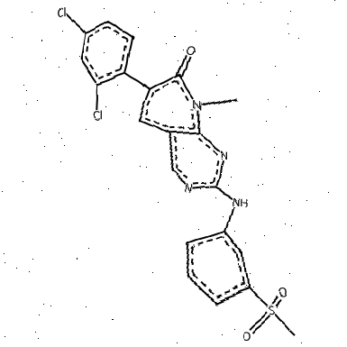 Cn1c(=O)c(-c2ccc(Cl)cc2Cl)cc2cnc(Nc3cccc(S(C)(=O)=O)c3)nc21